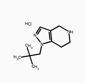 CC(C)(C)Cn1ncc2c1CCNC2.Cl